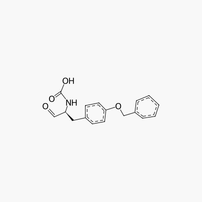 O=C[C@H](Cc1ccc(OCc2ccccc2)cc1)NC(=O)O